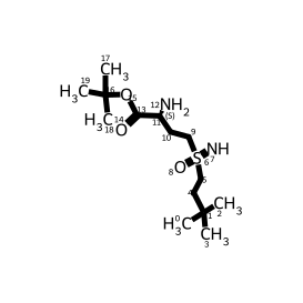 CC(C)(C)CCS(=N)(=O)CC[C@H](N)C(=O)OC(C)(C)C